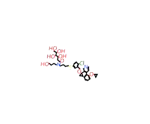 O=C(CC(O)C(O)C(O)CO)N(CCCCO)CCCCSc1ccc(Cl)c(COC2(c3cnccc3-c3ccccc3OC3CC3)CC2)c1